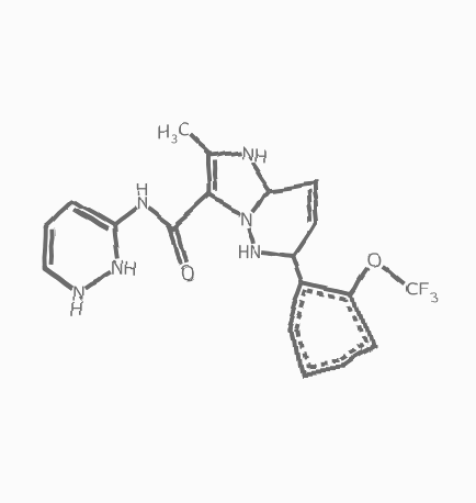 CC1=C(C(=O)NC2=CC=CNN2)N2NC(c3ccccc3OC(F)(F)F)C=CC2N1